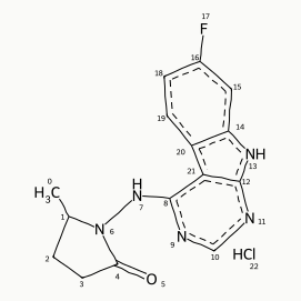 CC1CCC(=O)N1Nc1ncnc2[nH]c3cc(F)ccc3c12.Cl